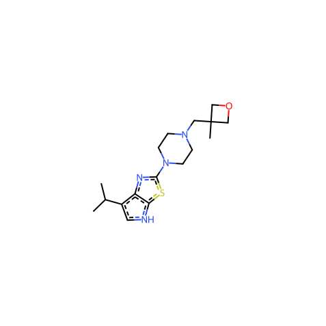 CC(C)c1c[nH]c2sc(N3CCN(CC4(C)COC4)CC3)nc12